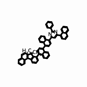 CC1(C)c2ccc3ccccc3c2-c2cccc(-c3ccc(-c4ccc(-c5cc(-c6cccc7ccccc67)nc(-c6ccccc6)n5)c5ccccc45)c4ccccc34)c21